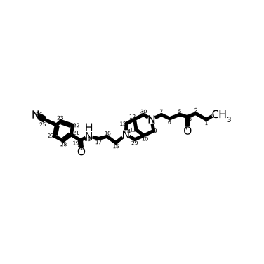 CCCC(=O)CCCN1CC2CC(CN(CCCNC(=O)c3ccc(C#N)cc3)C2)C1